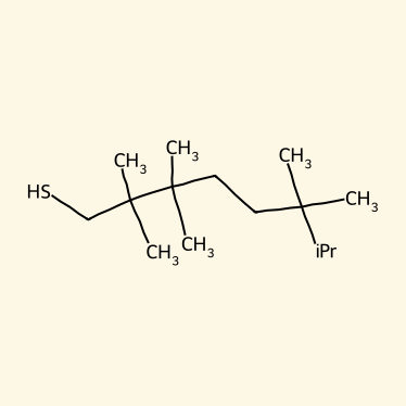 CC(C)C(C)(C)CCC(C)(C)C(C)(C)CS